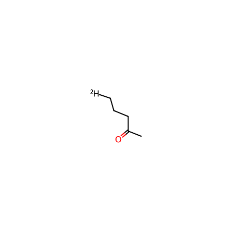 [2H]CCCC(C)=O